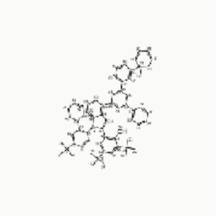 CC(C)(C)c1ccc(-n2c(-c3cc(C(C)(C)C)cc(C(C)(C)C)c3O)nc3c(-c4cc(-c5ccccc5)cc(-c5cc(C6(C)C=CC=CC6)ccn5)c4)cccc32)c(C2C=CC=CC2)c1